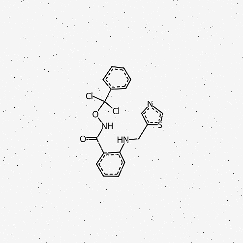 O=C(NOC(Cl)(Cl)c1ccccc1)c1ccccc1NCc1cncs1